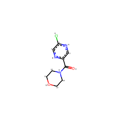 O=C(c1cnc(Cl)cn1)N1CCOCC1